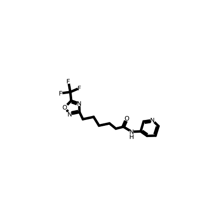 O=C(CCCCCc1noc(C(F)(F)F)n1)Nc1cccnc1